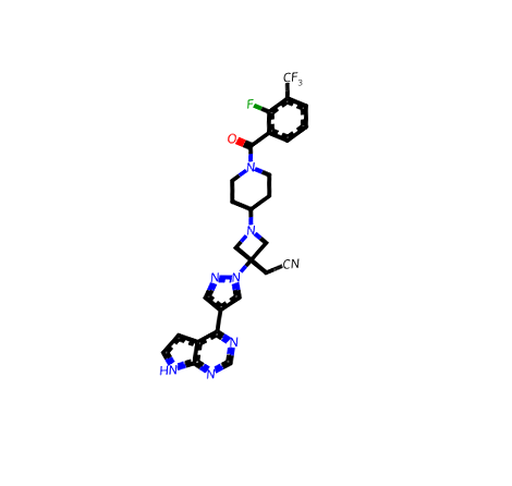 N#CCC1(n2cc(-c3ncnc4[nH]ccc34)cn2)CN(C2CCN(C(=O)c3cccc(C(F)(F)F)c3F)CC2)C1